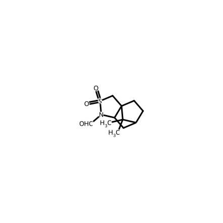 CC1(C)C2CCC13CS(=O)(=O)N(C=O)C3C2